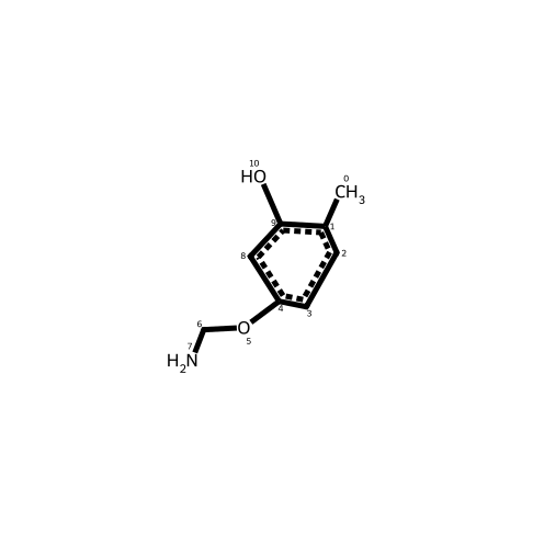 Cc1ccc(OCN)cc1O